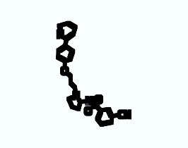 N#Cc1cccc(S(=O)(=O)NC2CCCN2CCCOc2ccc(-c3ccccn3)cc2)c1